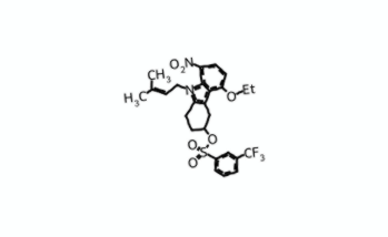 CCOc1ccc([N+](=O)[O-])c2c1c1c(n2CC=C(C)C)CCC(OS(=O)(=O)c2cccc(C(F)(F)F)c2)C1